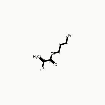 C=C(C(=O)OCCCC(C)C)C(C)C